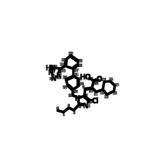 CCCCc1nc(Cl)c(C=C(CC2CCCCC2)C(=O)O)n1Cc1ccc(-c2ccccc2-c2nnn[nH]2)cc1